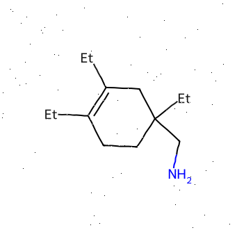 CCC1=C(CC)CC(CC)(CN)CC1